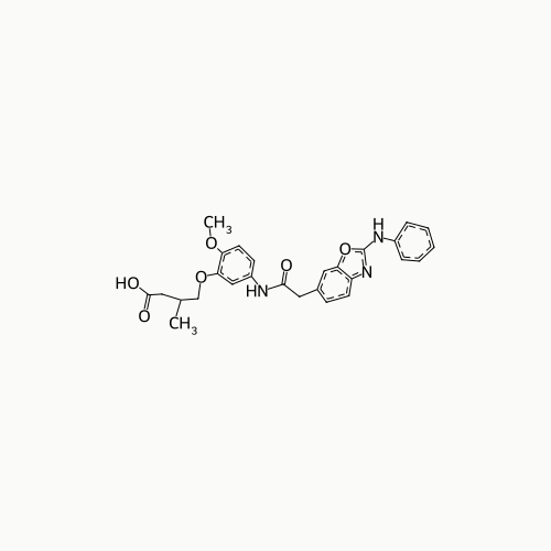 COc1ccc(NC(=O)Cc2ccc3nc(Nc4ccccc4)oc3c2)cc1OCC(C)CC(=O)O